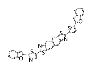 c1ccc2oc(-c3ccc(-c4nc5cc6cc7sc(-c8cnc(-c9cc%10ccccc%10o9)s8)nc7cc6cc5s4)s3)cc2c1